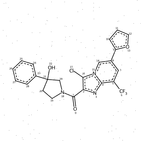 O=C(c1nc2c(C(F)(F)F)cc(-c3ccco3)cn2c1Cl)N1CCC(O)(c2ccccc2)C1